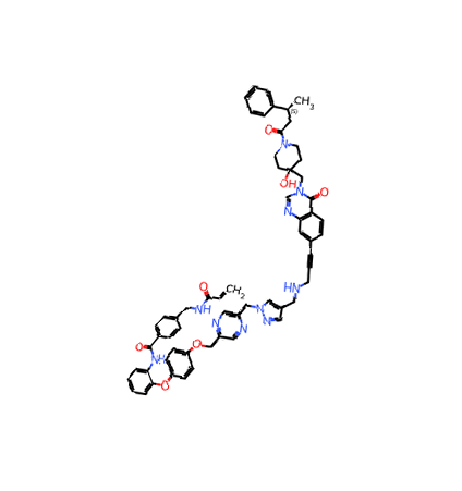 C=CC(=O)NCc1ccc(C(=O)Nc2ccccc2Oc2ccc(OCc3cnc(Cn4cc(CNCC#Cc5ccc6c(=O)n(CC7(O)CCN(C(=O)C[C@H](C)c8ccccc8)CC7)cnc6c5)cn4)cn3)cc2)cc1